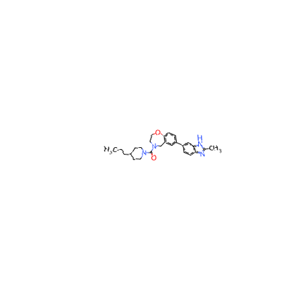 CCCC1CCN(C(=O)N2CCOc3ccc(-c4ccc5nc(C)[nH]c5c4)cc3C2)CC1